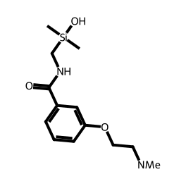 CNCCOc1cccc(C(=O)NC[Si](C)(C)O)c1